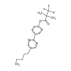 CCCCCc1cnc(-c2ccc(OC(=O)C(C)(C)C(F)(F)F)cc2)nc1